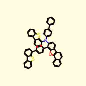 c1ccc(-c2ccc(N(c3ccc4c(oc5c6ccccc6ccc45)c3-c3ccc(-c4cccc5c4sc4ccccc45)cc3)c3cccc4c3sc3ccccc34)cc2)cc1